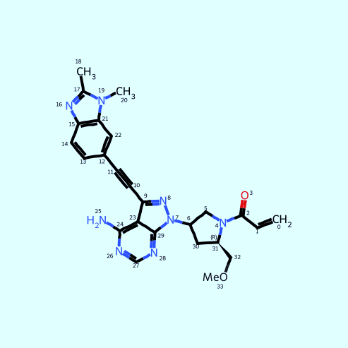 C=CC(=O)N1CC(n2nc(C#Cc3ccc4nc(C)n(C)c4c3)c3c(N)ncnc32)C[C@@H]1COC